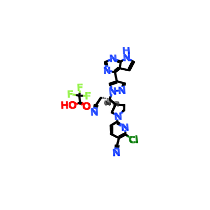 N#CC[C@@H]([C@H]1CCN(c2ccc(C#N)c(Cl)n2)C1)n1cc(-c2ncnc3[nH]ccc23)cn1.O=C(O)C(F)(F)F